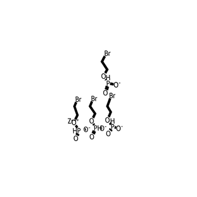 O=[PH]([O-])OCCBr.O=[PH]([O-])OCCBr.O=[PH]([O-])OCCBr.O=[PH]([O-])OCCBr.[Zr+4]